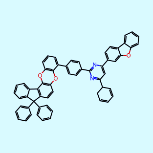 C1=CCC(c2cc(-c3ccc4c(c3)oc3ccccc34)nc(-c3ccc(-c4cccc5c4Oc4ccc6c(c4O5)-c4ccccc4C6(c4ccccc4)c4ccccc4)cc3)n2)C=C1